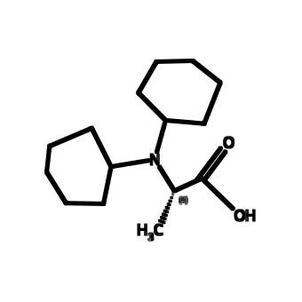 C[C@@H](C(=O)O)N(C1CCCCC1)C1CCCCC1